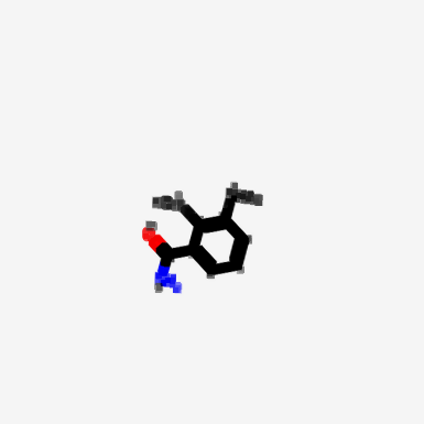 CCCCCCCCc1c(NC(C)=O)cccc1C(N)=O